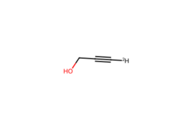 [2H]C#CCO